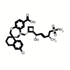 C[C@@H](/C=C/[C@H](O)[C@@H]1CC[C@H]1CN1C[C@@]2(CCCc3cc(Cl)ccc32)COc2ccc(C(=O)O)cc21)CS(N)(=O)=O